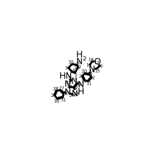 N[C@H]1CC[C@H](Nc2nc(Nc3ccc(N4CCOCC4)cc3)c3ncn(-c4ccccc4)c3n2)CC1